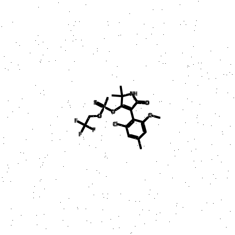 COc1cc(C)cc(Cl)c1C1=C(OP(C)(=S)OCC(F)(F)F)C(C)(C)NC1=O